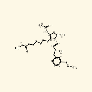 COCc1cccc(C[C@@H](O)/C=C/[C@@H]2C(CCCCCCC(=O)OC)=C(OC(C)=O)C[C@H]2O)c1